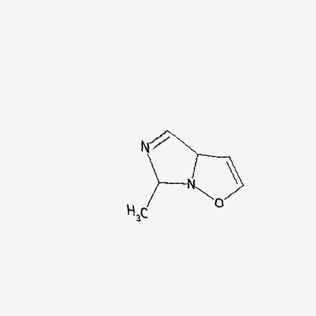 CC1N=CC2C=CON21